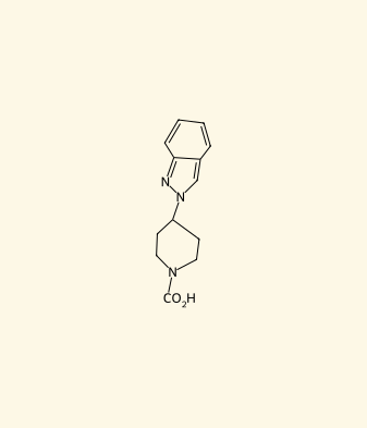 O=C(O)N1CCC(n2cc3ccccc3n2)CC1